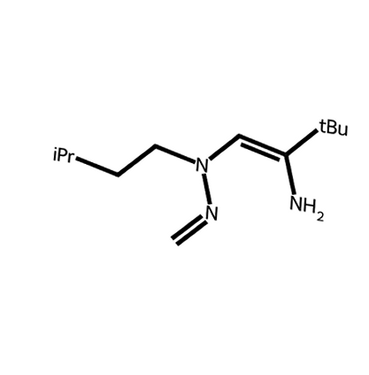 C=NN(/C=C(\N)C(C)(C)C)CCC(C)C